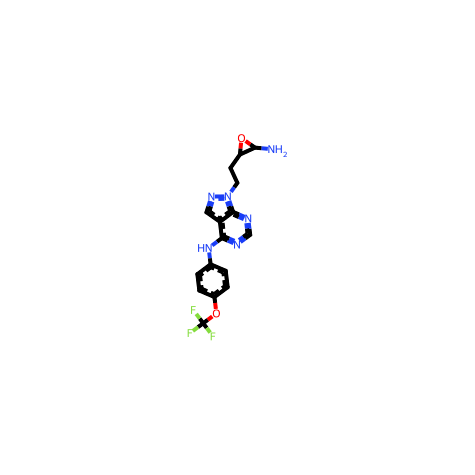 NC1OC1CCn1ncc2c(Nc3ccc(OC(F)(F)F)cc3)ncnc21